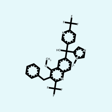 COc1c(Cc2ccccc2)c(C(F)(F)F)nc2ccc(C(O)(c3ccc(C(F)(F)F)nc3)c3cncn3C)cc12